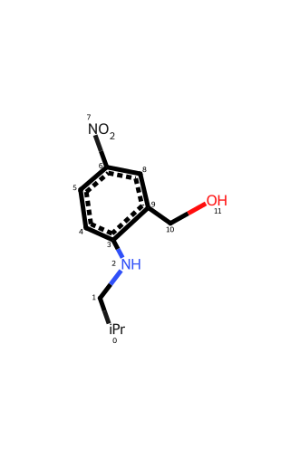 CC(C)CNc1ccc([N+](=O)[O-])cc1CO